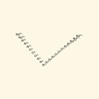 [Al+3].[Al+3].[Al+3].[Al+3].[Al+3].[N-3].[N-3].[N-3].[N-3].[N-3].[N-3].[Nd+3].[Nd+3].[Nd+3].[Nd+3].[Nd+3].[O-2].[O-2].[O-2].[O-2].[O-2].[O-2]